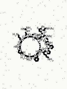 CCCC[C@@H]1NC(=O)[C@H](CCCCN)NC(=O)[C@H](CCCNC(=N)N)NC(=O)[C@H](CC(C)C)NC(=O)C(NC(=O)[C@H](CCSC)NC(=O)[C@@H]2C[C@@H](F)CN2C(=O)[C@@H](NC(C)=O)C(C)C)CCSSC[C@@H](C(=O)NC(CCCCN)C(=O)N2CCC[C@H]2C(=O)N2CCC[C@H]2C(=O)N[C@@H](CCC(=O)O)C(N)=O)NC(=O)[C@H](Cc2ccccc2)NC(=O)[C@H](CO)NC(=O)C(C)NC(=O)[C@@H]2CCCN2C1=O